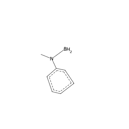 BN(C)c1ccccc1